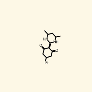 CC1CC(C)NC(=C2C(=O)CC(C(C)C)CC2=O)N1